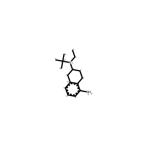 CCN(C1CCc2c(N)cccc2C1)C(C)(C)C